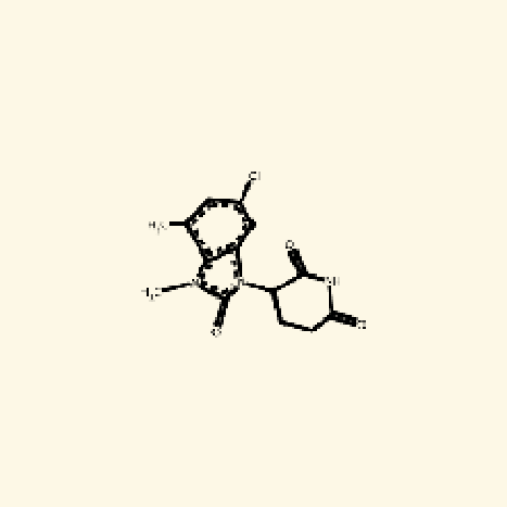 Cc1cc(Cl)cc2c1n(C)c(=O)n2C1CCC(=O)NC1=O